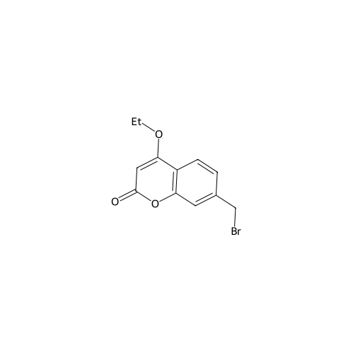 CCOc1cc(=O)oc2cc(CBr)ccc12